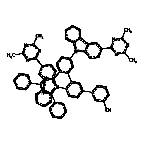 Cc1nc(C)nc(-c2ccc3c(c2)c2ccccc2n3-c2ccc(-c3nc(-c4ccccc4)nc(-c4ccccc4)n3)c(-c3cc(-c4cccc(C#N)c4)ccc3-n3c4ccccc4c4cc(-c5nc(C)nc(C)n5)ccc43)c2)n1